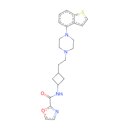 O=C(NC1CC(CCN2CCN(c3cccc4sccc34)CC2)C1)c1ncco1